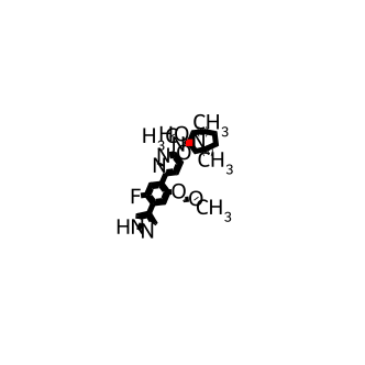 COCOc1cc(-c2cn[nH]c2)c(F)cc1-c1ccc(N(C)[C@H]2C[C@]3(C)CC[C@](C)(C2)N3C(=O)O)nn1